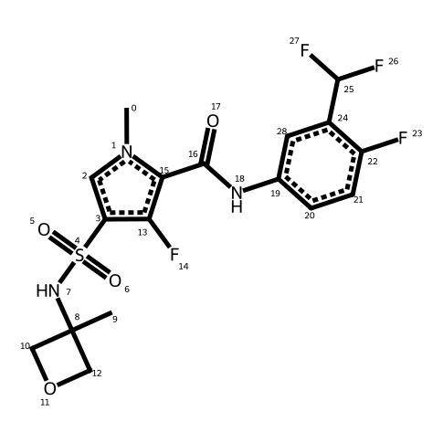 Cn1cc(S(=O)(=O)NC2(C)COC2)c(F)c1C(=O)Nc1ccc(F)c(C(F)F)c1